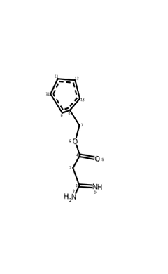 N=C(N)CC(=O)OCc1ccccc1